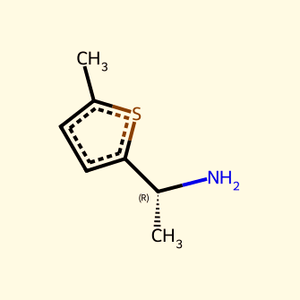 Cc1ccc([C@@H](C)N)s1